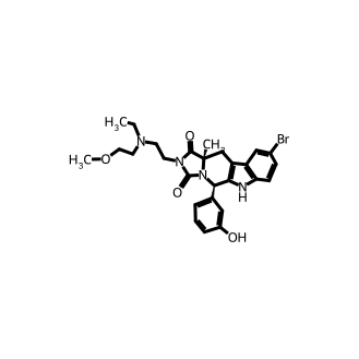 CCN(CCOC)CCN1C(=O)N2[C@H](c3cccc(O)c3)c3[nH]c4ccc(Br)cc4c3C[C@@]2(C)C1=O